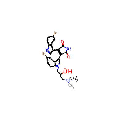 CN(C)CC(O)Cn1cc(C2=C(c3c[nH]c4ccc(Br)cc34)C(=O)NC2=O)c2cc(Br)ccc21